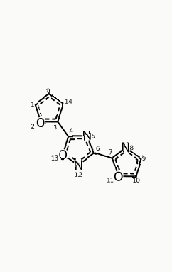 c1coc(-c2nc(-c3ncco3)no2)c1